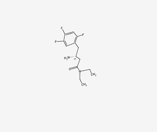 CCN(CC)C(=O)C[C@H](N)Cc1cc(F)c(F)cc1F